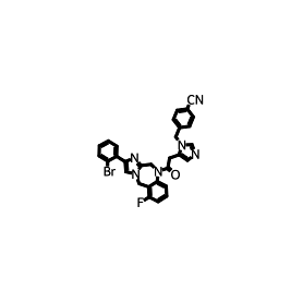 N#Cc1ccc(Cn2cncc2CC(=O)N2Cc3nc(-c4ccccc4Br)cn3Cc3c(F)cccc32)cc1